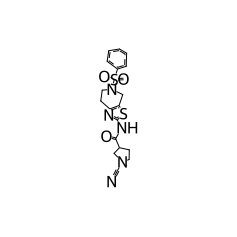 N#CN1CCC(C(=O)Nc2nc3c(s2)CN(S(=O)(=O)c2ccccc2)CC3)C1